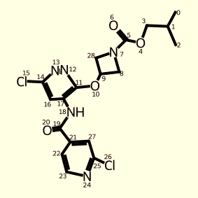 CC(C)COC(=O)N1CC(Oc2nnc(Cl)cc2NC(=O)c2ccnc(Cl)c2)C1